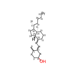 C=C1CC[C@H](O)C/C1=C/C=C1\CCC[C@]2(C)C([C@H](C)CCCC(C)C)CC[C@@H]12